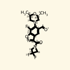 C[C@@H]1CN(c2c(C=O)cc3c(C(=O)N4CC(F)(F)C4)noc3c2F)C[C@@H](C)O1